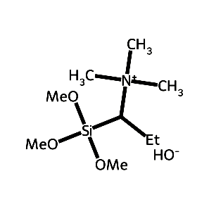 CCC([N+](C)(C)C)[Si](OC)(OC)OC.[OH-]